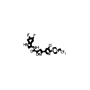 O=C(Nc1c[nH]c2cc(F)c(F)cc12)c1cc(-c2cnc(N3CCN(CC(F)(F)F)CC3)c(Cl)c2)no1